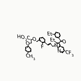 CCc1cccc(C(=O)c2c(CC)n(C/C=C/c3cccc(CO[C@H](COc4ccc(C)cc4)C(=O)O)c3F)c3ncc(C(F)(F)F)cc23)c1